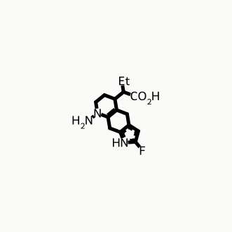 CCC(C(=O)O)C1CCN(N)C2=C1Cc1cc(F)[nH]c1C2